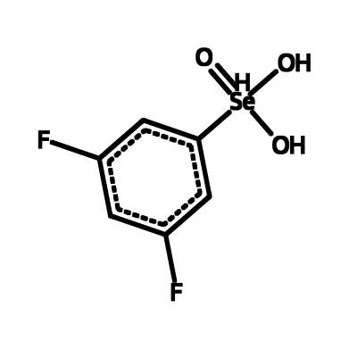 O=[SeH](O)(O)c1cc(F)cc(F)c1